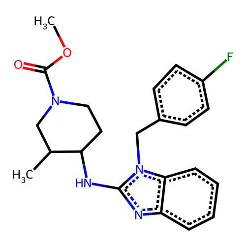 COC(=O)N1CCC(Nc2nc3ccccc3n2Cc2ccc(F)cc2)C(C)C1